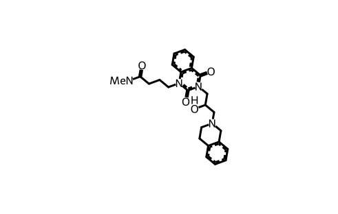 CNC(=O)CCCn1c(=O)n(CC(O)CN2CCc3ccccc3C2)c(=O)c2ccccc21